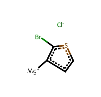 [Cl-].[Mg+][c]1ccsc1Br